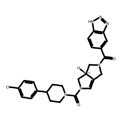 O=C(c1ccc2[nH]nnc2c1)N1CC2=CN(C(=O)N3CCC(c4ccc(Cl)cc4)CC3)C[C@@H]2C1